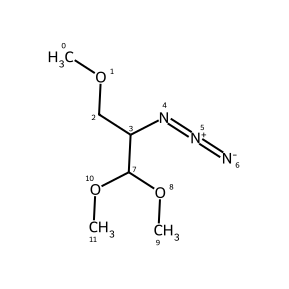 COCC(N=[N+]=[N-])C(OC)OC